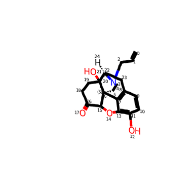 C=CCN1CC[C@]23c4c5ccc(O)c4OC2C(=O)CCC3(O)[C@H]1C5